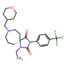 CCN1C(=O)N(c2ccc(C(F)(F)F)cc2)C(=O)[C@@]12CCCN(CC1CCOCC1)CC2